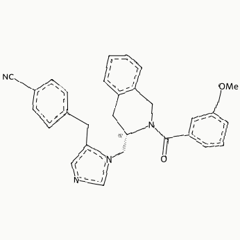 COc1cccc(C(=O)N2Cc3ccccc3C[C@H]2Cn2cncc2Cc2ccc(C#N)cc2)c1